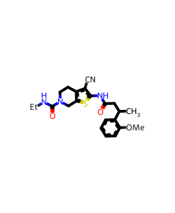 CCNC(=O)N1CCc2c(sc(NC(=O)CC(C)c3ccccc3OC)c2C#N)C1